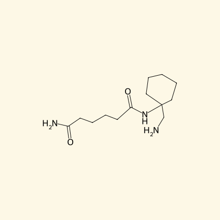 NCC1(NC(=O)CCCCC(N)=O)CCCCC1